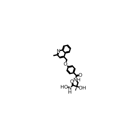 Cc1cc(COc2ccc(C(=O)NC[C@](C)(O)C(=O)NO)cc2)c2ccccc2n1